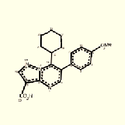 COc1ccc(-c2cnc3c(C(=O)O)cnn3c2C2CCCCC2)cc1